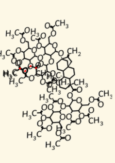 C=C1C[C@@]23CCC4[C@@](C)(CCC[C@@]4(C)C(=O)OC4OC(COC(C)=O)C(OC(C)=O)C(OC(C)=O)C4OC4OC(COC(C)=O)C(OC(C)=O)C(OC(C)=O)C4OC(C)=O)C2CC[C@]1(OC1OC(COC(C)=O)C(OC(C)=O)C(OC2OC(COC(C)=O)C(OC(C)=O)C(OC(C)=O)C2OC(C)=O)C1OC1OC(COC(C)=O)C(OC(C)=O)C(OC(C)=O)C1OC(C)=O)C3